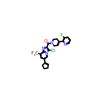 O=C(c1nc2c(C(F)(F)F)cc(C3=CCCC3)cn2c1Cl)N1CC=C(c2ncccc2F)CC1